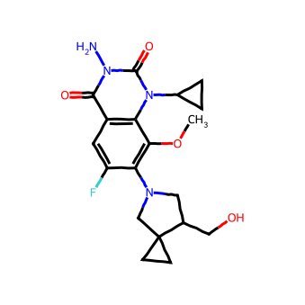 COc1c(N2CC(CO)C3(CC3)C2)c(F)cc2c(=O)n(N)c(=O)n(C3CC3)c12